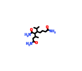 C[C](CC(N)=O)C(C(N)=O)C(CCCC(N)=O)C(C)C